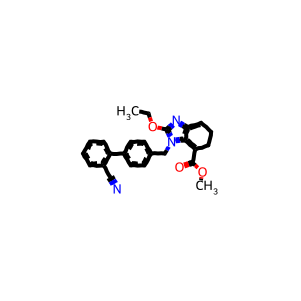 CCOc1nc2c(n1Cc1ccc(-c3ccccc3C#N)cc1)=C(C(=O)OC)CCC=2